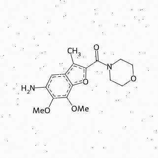 COc1c(N)cc2c(C)c(C(=O)N3CCOCC3)oc2c1OC